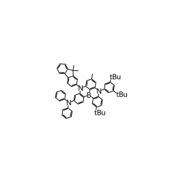 Cc1cc2c3c(c1)N(c1ccc4c(c1)C(C)(C)c1ccccc1-4)c1cc(N(c4ccccc4)c4ccccc4)ccc1B3c1cc(C(C)(C)C)ccc1N2c1cc(C(C)(C)C)cc(C(C)(C)C)c1